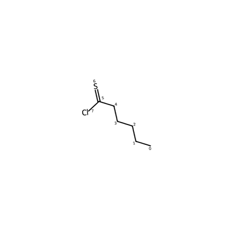 CCCCCC(=S)Cl